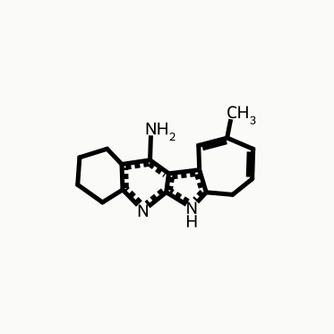 CC1=Cc2c([nH]c3nc4c(c(N)c23)CCCC4)CC=C1